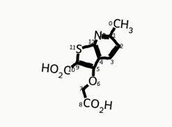 Cc1ccc2c(OCC(=O)O)c(C(=O)O)sc2n1